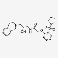 O=C(COc1ccccc1S(=O)(=O)N1CCCC1)NCC(O)CN1CCc2ccccc2C1